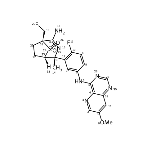 COc1cnc2c(Nc3ccc(F)c([C@@]4(C)N=C(N)[C@@]5(CF)CC[C@@H]4S5(=O)=O)c3)ncnc2c1